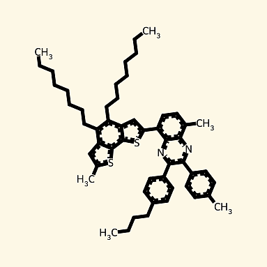 CCCCCCCCc1c(CCCCCCCC)c2cc(-c3ccc(C)c4nc(-c5ccc(C)cc5)c(-c5ccc(CCCC)cc5)nc34)sc2c2sc(C)cc12